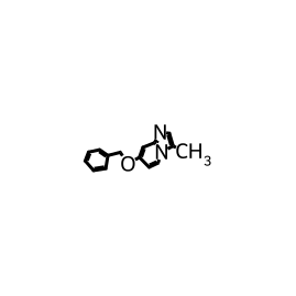 Cc1cnc2cc(OCc3ccccc3)ccn12